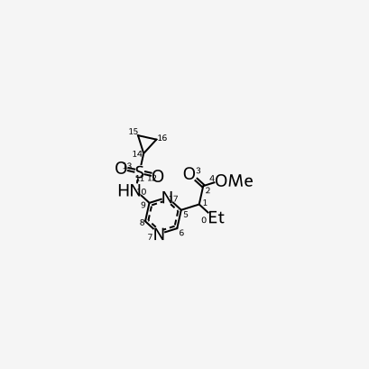 CCC(C(=O)OC)c1cncc(NS(=O)(=O)C2CC2)n1